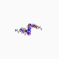 COc1ccc(C(=O)Nc2cccc(Oc3cc4c(cn3)nc(-c3nonc3N)n4-c3ccc(OCCN(C)C)cc3)c2)cc1